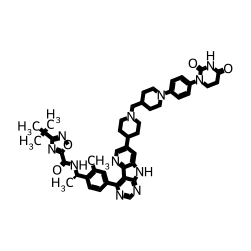 Cc1cc(-c2ncnc3[nH]c4cc(C5CCN(CC6CCN(c7ccc(N8CCC(=O)NC8=O)cc7)CC6)CC5)cnc4c23)ccc1[C@@H](C)NC(=O)c1nc(C(C)(C)C)no1